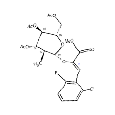 COC(=O)/C(=C/c1c(F)cccc1Cl)O[C@H]1O[C@@H](COC(C)=O)[C@H](OC(C)=O)[C@@H](OC(C)=O)[C@@H]1C